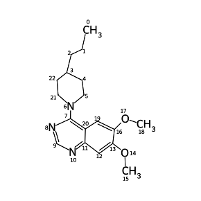 CCCC1CCN(c2ncnc3cc(OC)c(OC)cc23)CC1